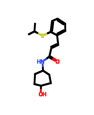 CC(C)Sc1ccccc1C=CC(=O)NC1CCC(O)CC1